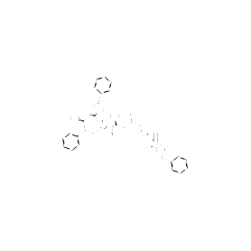 CC(CCNC(=O)OCc1ccccc1)CC(=O)NCCC(C(=O)C1=NCC(c2ccccc2)O1)c1ccccc1